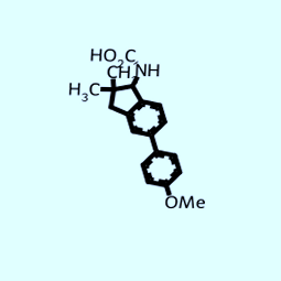 COc1ccc(-c2ccc3c(c2)CC(C)(C)C3NC(=O)O)cc1